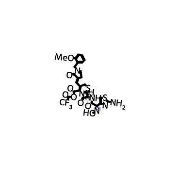 COc1ccccc1CN1CCC(=CC2=C(C(=O)OC(=O)C(F)(F)F)N3C(=O)[C@@H](NC(=O)/C(=N\O)c4csc(N)n4)[C@H]3SC2)C1=O